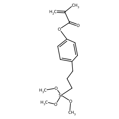 C=C(C)C(=O)Oc1ccc(CCC[Si](OC)(OC)OC)cc1